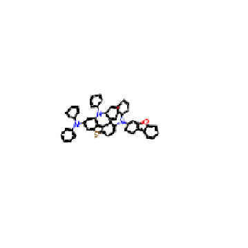 c1ccc(N(c2ccccc2)c2cc(N(c3ccccc3)c3ccccc3)c3c(c2)sc2ccc(N(c4ccccc4)c4ccc5c(c4)oc4ccccc45)cc23)cc1